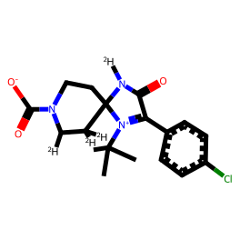 [2H]C1N(C(=O)[O-])CCC2(N([2H])C(=O)C(c3ccc(Cl)cc3)=[N+]2C(C)(C)C)C1([2H])[2H]